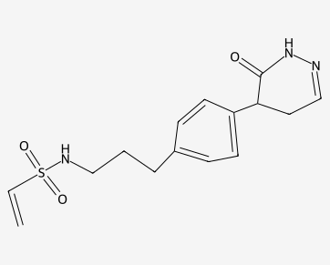 C=CS(=O)(=O)NCCCc1ccc(C2CC=NNC2=O)cc1